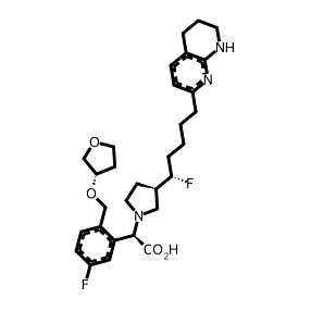 O=C(O)[C@@H](c1cc(F)ccc1CO[C@H]1CCOC1)N1CC[C@@H]([C@@H](F)CCCCc2ccc3c(n2)NCCC3)C1